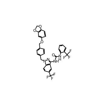 O=C(Nc1ccccc1C(F)(F)F)Nc1nn(Cc2ccc(COc3ccc4c(c3)OCO4)cc2)c2ccc(C(F)(F)F)cc12